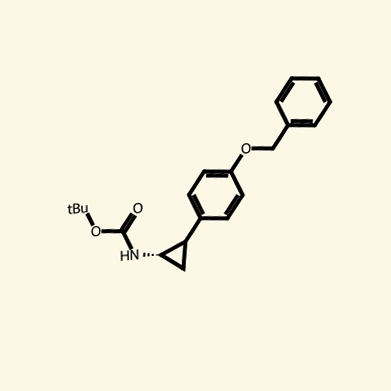 CC(C)(C)OC(=O)N[C@H]1CC1c1ccc(OCc2ccccc2)cc1